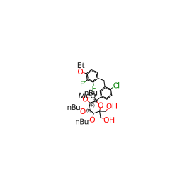 CCCCOC1[C@H](OCCCC)[C@@H](OCCCC)[C@](OC)(c2ccc(Cl)c(Cc3ccc(OCC)c(F)c3F)c2)OC1(CO)CO